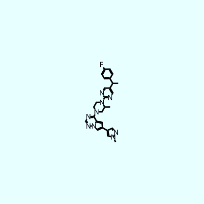 CC(c1ccc(F)cc1)c1cnc(N2CCN(c3ncnn4cc(-c5cnn(C)c5)cc34)CC2C)nc1